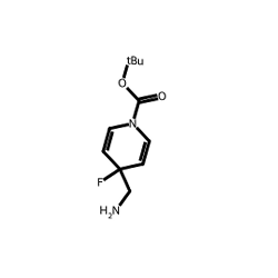 CC(C)(C)OC(=O)N1C=CC(F)(CN)C=C1